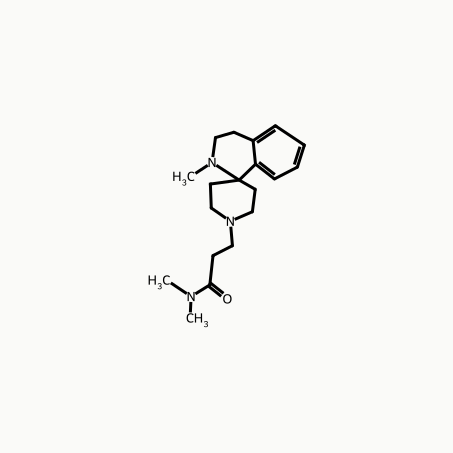 CN(C)C(=O)CCN1CCC2(CC1)c1ccccc1CCN2C